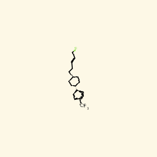 FCC=CCC[C@H]1CC[C@H](c2ccc(C(F)(F)F)cc2)CC1